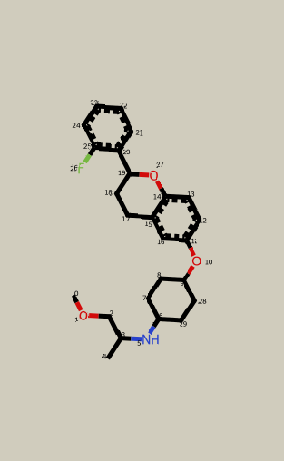 COCC(C)NC1CCC(Oc2ccc3c(c2)CCC(c2ccccc2F)O3)CC1